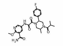 COc1ncc(NC(=O)C(=O)N2CC(C)N(C(=O)C(C)C)CC2c2ccc(F)cc2)cc1C(N)=O